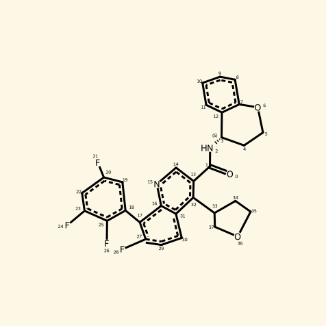 O=C(N[C@H]1CCOc2ccccc21)c1cnc2c(-c3cc(F)cc(F)c3F)c(F)ccc2c1C1CCOC1